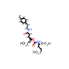 O=C(O)CC[C@H](NC(=O)O[C@@H](CCC(=O)NCCc1ccc(I)cc1)C(=O)O)C(=O)O